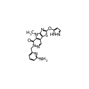 Cn1c2nc(Oc3ccn[nH]3)sc2c2cnn(Cc3cccc(N)n3)c(=O)c21